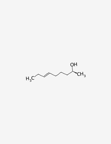 CCC=CCCC[C@H](C)O